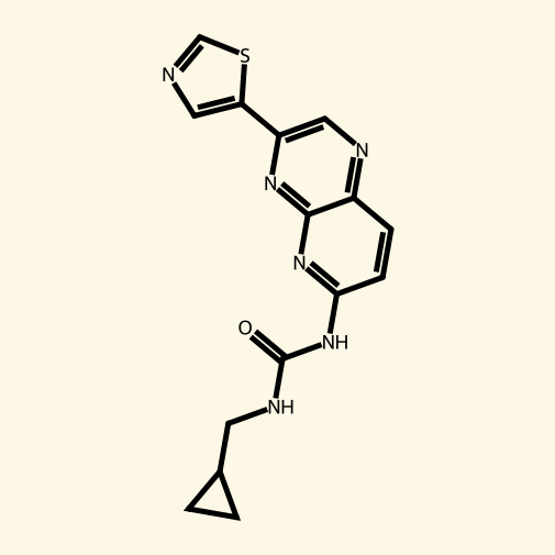 O=C(NCC1CC1)Nc1ccc2ncc(-c3cncs3)nc2n1